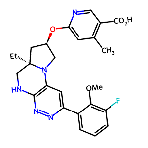 CC[C@@]12CNc3nnc(-c4cccc(F)c4OC)cc3N1C[C@H](Oc1cc(C)c(C(=O)O)cn1)C2